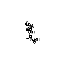 CCc1cc(CNC(Cc2nc(-c3ccccc3)oc2C)c2ncco2)ccc1OC(C)(C)C(=O)O